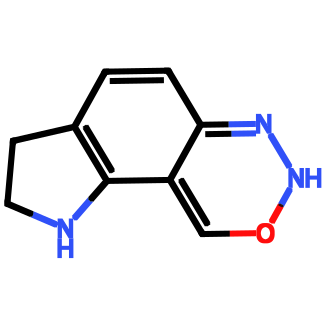 C1=c2c3c(ccc2=NNO1)CCN3